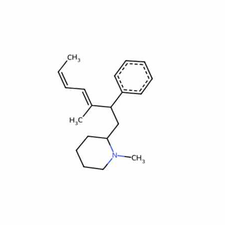 C/C=C\C=C(/C)C(CC1CCCCN1C)c1ccccc1